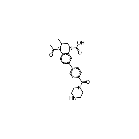 CC(=O)N1c2ccc(-c3ccc(C(=O)N4CCNCC4)cc3)cc2N(C(=O)O)CC1C